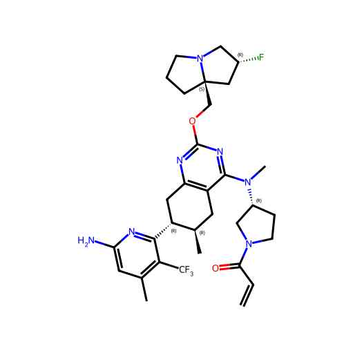 C=CC(=O)N1CC[C@@H](N(C)c2nc(OC[C@@]34CCCN3C[C@H](F)C4)nc3c2C[C@@H](C)[C@H](c2nc(N)cc(C)c2C(F)(F)F)C3)C1